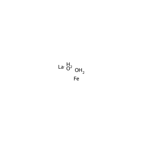 O.O.[Fe].[La]